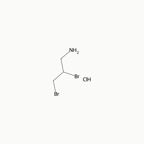 Cl.NCC(Br)CBr